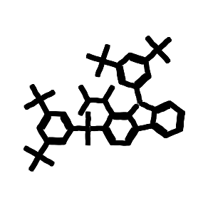 CC(C)C(C)c1c([Si](C)(C)c2cc(C(C)(C)C)cc(C(C)(C)C)c2)ccc2c3ccccc3n(-c3cc(C(C)(C)C)cc(C(C)(C)C)c3)c12